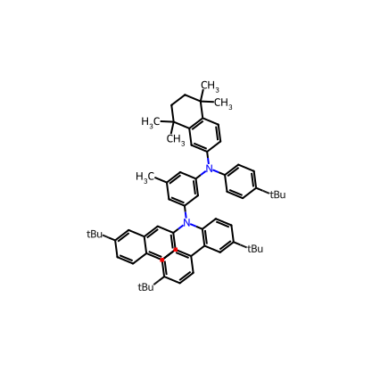 Cc1cc(N(c2ccc(C(C)(C)C)cc2)c2ccc3c(c2)C(C)(C)CCC3(C)C)cc(N(c2ccc3ccc(C(C)(C)C)cc3c2)c2ccc(C(C)(C)C)cc2-c2ccc(C(C)(C)C)cc2)c1